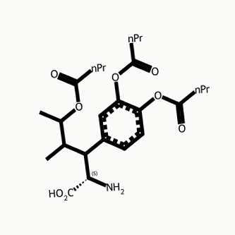 CCCC(=O)Oc1ccc(C(C(C)C(C)OC(=O)CCC)[C@H](N)C(=O)O)cc1OC(=O)CCC